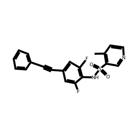 Cc1ccncc1S(=O)(=O)Nc1c(F)cc(C#Cc2ccccc2)cc1F